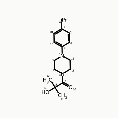 CC(C)c1ccc(N2CCN(C(=O)C(C)(C)O)CC2)cc1